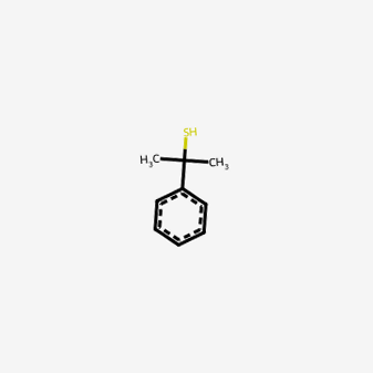 CC(C)(S)c1ccccc1